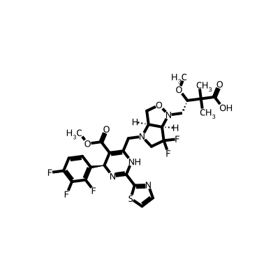 COC(=O)C1=C(CN2CC(F)(F)[C@H]3[C@@H]2CON3C[C@H](OC)C(C)(C)C(=O)O)NC(c2nccs2)=N[C@H]1c1ccc(F)c(F)c1F